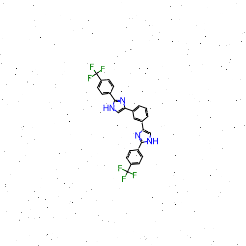 FC(F)(F)c1ccc(-c2nc(-c3cccc(-c4c[nH]c(-c5ccc(C(F)(F)F)cc5)n4)c3)c[nH]2)cc1